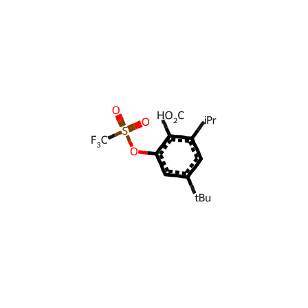 CC(C)c1cc(C(C)(C)C)cc(OS(=O)(=O)C(F)(F)F)c1C(=O)O